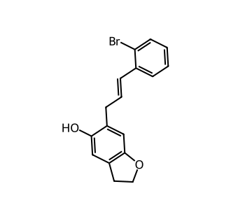 Oc1cc2c(cc1CC=Cc1ccccc1Br)OCC2